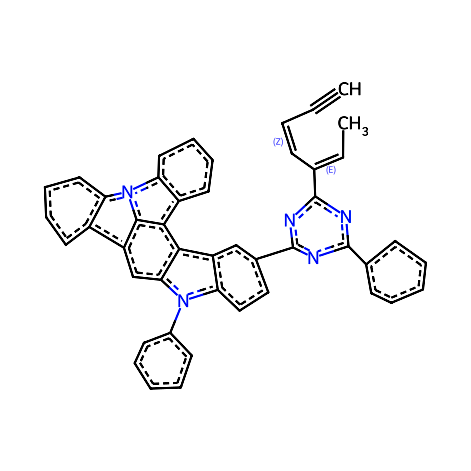 C#C/C=C\C(=C/C)c1nc(-c2ccccc2)nc(-c2ccc3c(c2)c2c4c5ccccc5n5c6ccccc6c(cc2n3-c2ccccc2)c45)n1